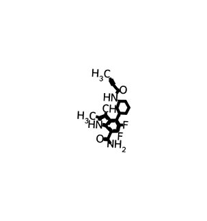 CC#CC(=O)N[C@@H]1CCCC(c2c(F)c(F)c(C(N)=O)c3[nH]c(C)c(C)c23)C1